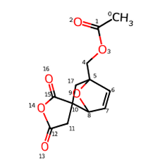 CC(=O)OCC12C=CC(O1)C1(CC(=O)OC1=O)C2